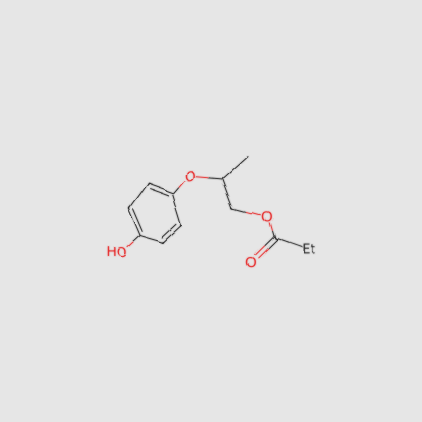 CCC(=O)OCC(C)Oc1ccc(O)cc1